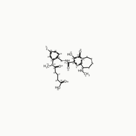 CNC1CCCCn2c1nc(C(=O)NCc1ccc(F)cc1N(C)C(=O)CCCC(=O)O)c(O)c2=O